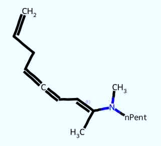 C=CCC=C=C/C=C(\C)N(C)CCCCC